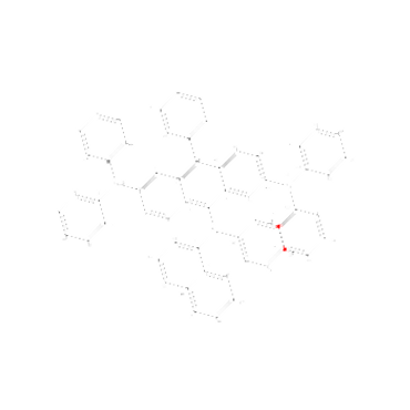 c1ccc(-c2c3cc(N(c4ccccc4)c4ccccc4)ccc3c(N(c3ccccc3)c3cccc4ccccc34)c3cc(N(c4ccccc4)c4ccccc4)ccc23)cc1